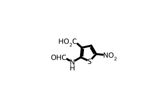 O=CNc1sc([N+](=O)[O-])cc1C(=O)O